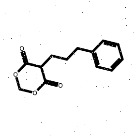 O=C1OCOC(=O)C1CCCc1ccccc1